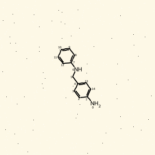 Nc1ccc(CNc2ccccc2)cc1